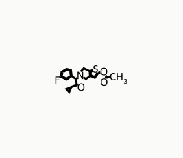 CC(=O)Oc1cc2c(s1)CCN(C(C(=O)C1CC1)c1cccc(F)c1)C2